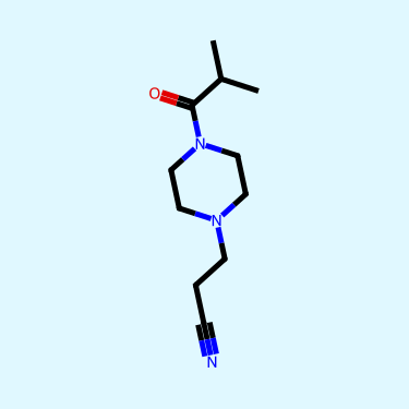 CC(C)C(=O)N1CCN(CCC#N)CC1